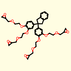 c1ccc2c(c1)CC(c1ccc(OCCOCC3CO3)c(OCCOCC3CO3)c1)(c1ccc(OCCOCC3CO3)c(OCCOCC3CO3)c1)C2